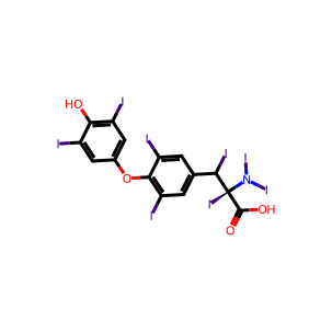 O=C(O)[C@](I)(C(I)c1cc(I)c(Oc2cc(I)c(O)c(I)c2)c(I)c1)N(I)I